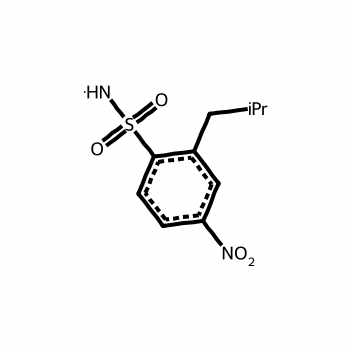 CC(C)Cc1cc([N+](=O)[O-])ccc1S([NH])(=O)=O